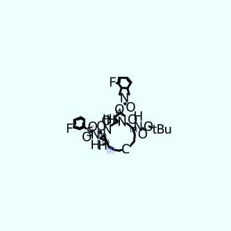 CC(C)(C)OC(=O)N[C@H]1CCCCC/C=C\[C@@H]2C[C@@]2(C(=O)NS(=O)(=O)c2cccc(F)c2)NC(=O)[C@@H]2C[C@@H](OC(=O)N3CC4C=CC=C(F)C4C3)CN2C1=O